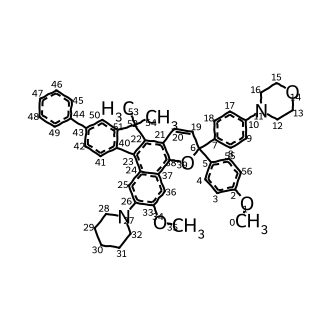 COc1ccc(C2(c3ccc(N4CCOCC4)cc3)C=Cc3c4c(c5cc(N6CCCCC6)c(OC)cc5c3O2)-c2ccc(-c3ccccc3)cc2C4(C)C)cc1